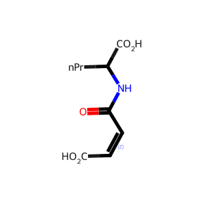 CCCC(NC(=O)/C=C\C(=O)O)C(=O)O